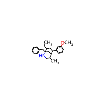 CCC1CC(c2cccc(OC)c2)C2CC1(Cc1ccccc1)NCC2C